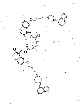 CC(C)(CC(=O)OCN1C(=O)CCc2ccc(OCCCCN3CCN(c4cccc5sccc45)CC3)cc21)CC(C)(C)C(=O)OCN1C(=O)CCc2ccc(OCCCCN3CCN(c4cccc5sccc45)CC3)cc21